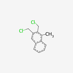 Cc1c(CCl)c(CCl)cc2ccccc12